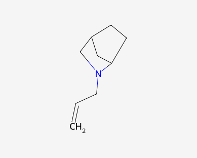 C=CCN1CC2CCC1C2